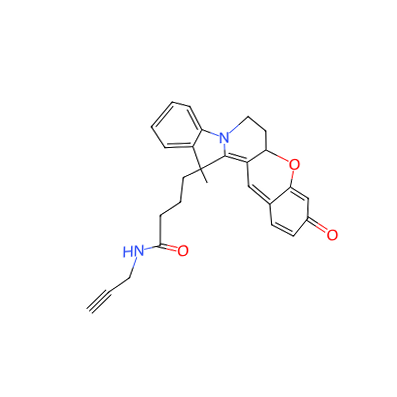 C#CCNC(=O)CCCC1(C)C2=C3C=C4C=CC(=O)C=C4OC3CCN2c2ccccc21